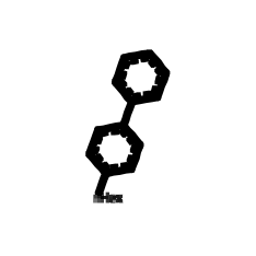 [CH2]CCCCCc1ccc(-c2ccccc2)cc1